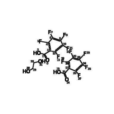 O=C(O)c1c(F)c(F)c(F)c(F)c1F.O=C(O)c1c(F)c(F)c(F)c(F)c1F.OCCO